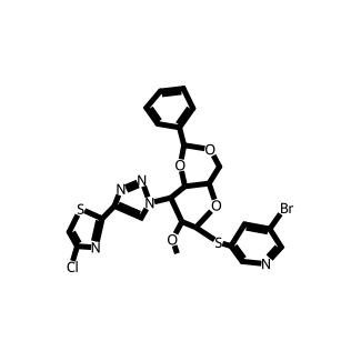 COC1C(Sc2cncc(Br)c2)OC2COC(c3ccccc3)OC2C1n1cc(-c2nc(Cl)cs2)nn1